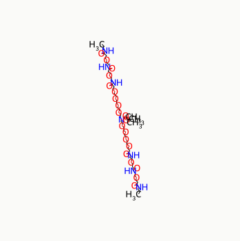 CCCNC(=O)CCOCCNC(=O)CCOCCNC(=O)CCOCCOCCOCCOCCN(CCOCCOCCOCCOCCC(=O)NCCOCCC(=O)NCCOCCC(=O)NCCC)C(=O)OC(C)(C)C